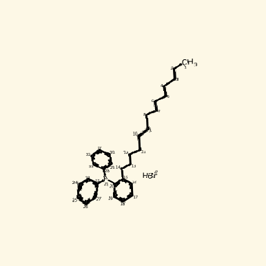 Br.CCCCCCCCCCCCCCc1ccccc1P(c1ccccc1)c1ccccc1